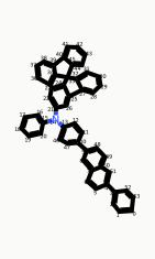 c1ccc(-c2ccc3cc(-c4ccc(N(c5ccccc5)c5ccc6c(c5)-c5ccccc5C65c6ccccc6-c6ccccc65)cc4)ccc3c2)cc1